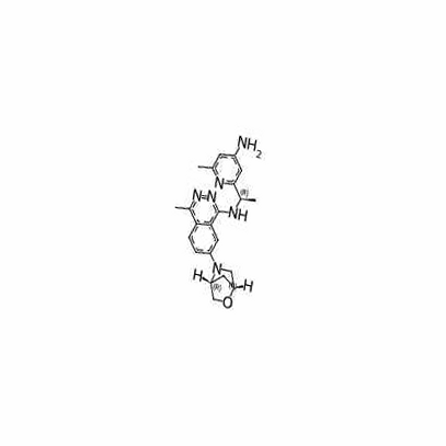 Cc1cc(N)cc([C@@H](C)Nc2nnc(C)c3ccc(N4C[C@H]5C[C@@H]4CO5)cc23)n1